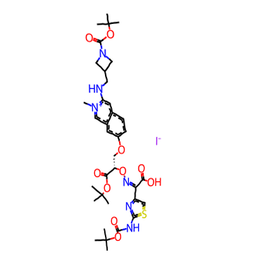 C[n+]1cc2cc(OC[C@H](O/N=C(\C(=O)O)c3csc(NC(=O)OC(C)(C)C)n3)C(=O)OC(C)(C)C)ccc2cc1NCC1CN(C(=O)OC(C)(C)C)C1.[I-]